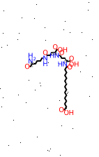 N[C@H]([C]=O)CCCCNC(=O)CC[C@H](NC(=O)CC[C@H](NC(=O)CCCCCCCCCCCCCCC(=O)O)C(=O)O)C(=O)O